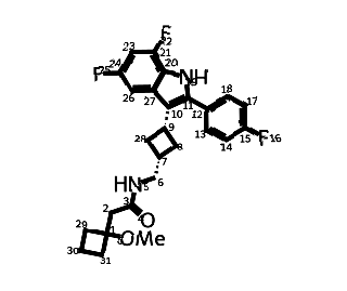 COC1(CC(=O)NC[C@H]2C[C@@H](c3c(-c4ccc(F)cc4)[nH]c4c(F)cc(F)cc43)C2)CCC1